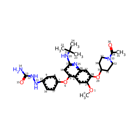 COc1cc2c(Oc3ccc(NNC(N)=O)cc3)cc(NC(C)(C)C)nc2cc1OC1CCN(C(C)=O)CC1